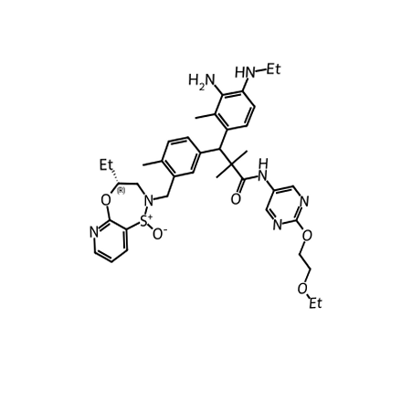 CCNc1ccc(C(c2ccc(C)c(CN3C[C@@H](CC)Oc4ncccc4[S+]3[O-])c2)C(C)(C)C(=O)Nc2cnc(OCCOCC)nc2)c(C)c1N